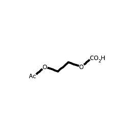 CC(=O)OCCOC(=O)O